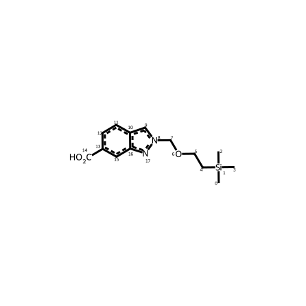 C[Si](C)(C)CCOCn1cc2ccc(C(=O)O)cc2n1